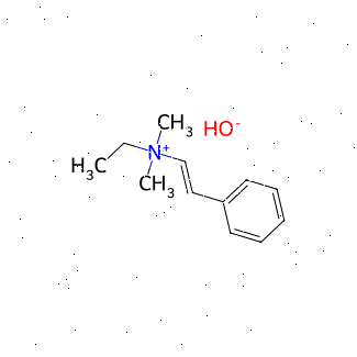 CC[N+](C)(C)C=Cc1ccccc1.[OH-]